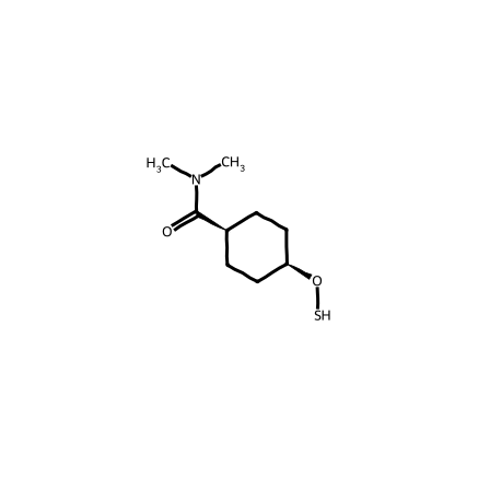 CN(C)C(=O)[C@H]1CC[C@@H](OS)CC1